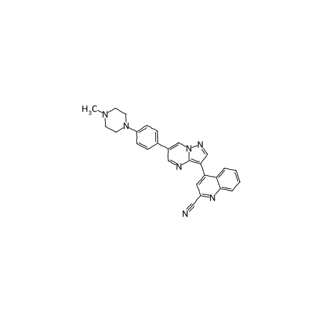 CN1CCN(c2ccc(-c3cnc4c(-c5cc(C#N)nc6ccccc56)cnn4c3)cc2)CC1